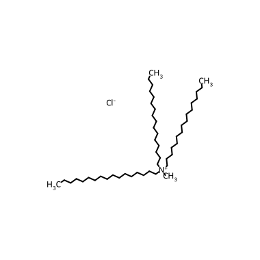 CCCCCCCCCCCCCCCCC[N+](C)(CCCCCCCCCCCCCCCC)CCCCCCCCCCCCCCCC.[Cl-]